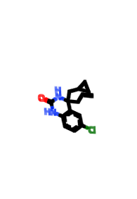 C=CCC1(CC2CC2)NC(=O)Nc2ccc(Cl)cc21